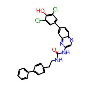 O=C(NCCc1ccc(-c2ccccc2)cc1)Nc1cnc2ccc(-c3cc(Cl)c(O)c(Cl)c3)cc2n1